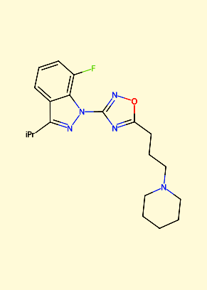 CC(C)c1nn(-c2noc(CCCN3CCCCC3)n2)c2c(F)cccc12